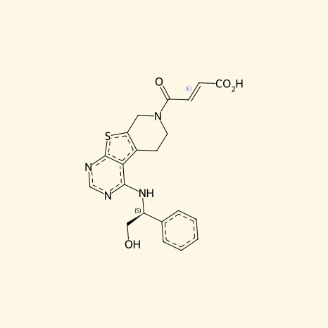 O=C(O)/C=C/C(=O)N1CCc2c(sc3ncnc(N[C@H](CO)c4ccccc4)c23)C1